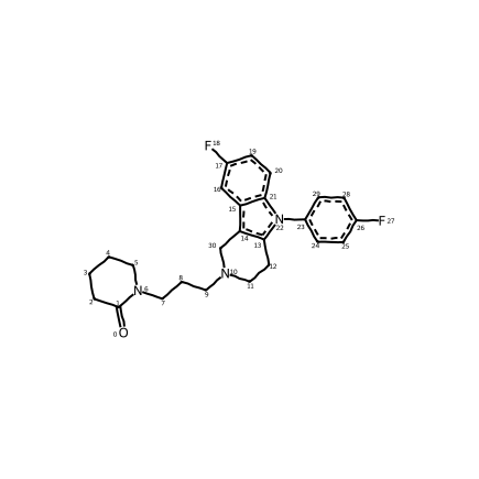 O=C1CCCCN1CCCN1CCc2c(c3cc(F)ccc3n2-c2ccc(F)cc2)C1